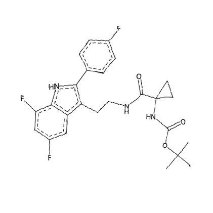 CC(C)(C)OC(=O)NC1(C(=O)NCCc2c(-c3ccc(F)cc3)[nH]c3c(F)cc(F)cc23)CC1